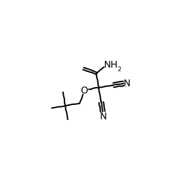 C=C(N)C(C#N)(C#N)OCC(C)(C)C